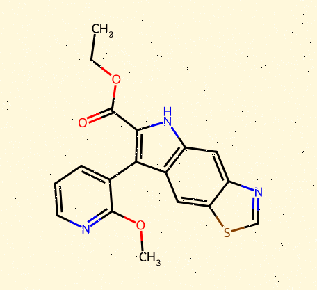 CCOC(=O)c1[nH]c2cc3ncsc3cc2c1-c1cccnc1OC